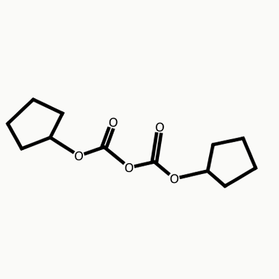 O=C(OC(=O)OC1CCCC1)OC1CCCC1